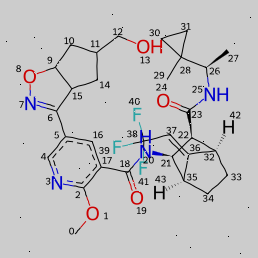 COc1ncc(C2=NOC3CC(CO)CC23)cc1C(=O)N[C@H]1[C@@H](C(=O)N[C@H](C)C2(C)CC2)[C@H]2CC[C@@H]1/C2=C\C(F)(F)F